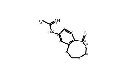 N=C(N)Nc1ccc2c(c1)CCCCOC2=O